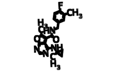 Cc1cc(CNC(=O)c2c(C)oc3ncnc(NC4(C)CC4)c23)ccc1F